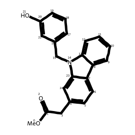 COC(=O)Cc1ccc2c3ccccc3n(Cc3cccc(O)c3)c2c1